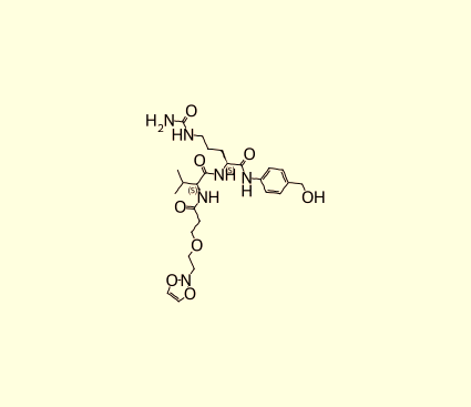 CC(C)[C@H](NC(=O)CCOCCN1OC=CO1)C(=O)N[C@@H](CCCNC(N)=O)C(=O)Nc1ccc(CO)cc1